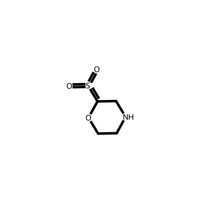 O=S(=O)=C1CNCCO1